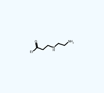 CCC(=O)CCNCCN